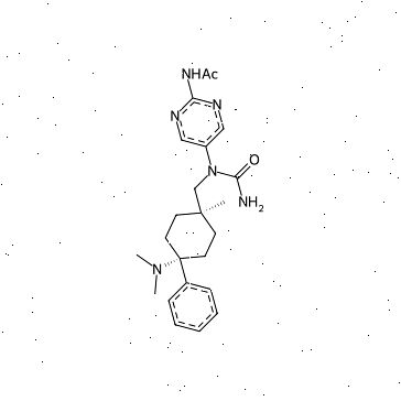 CC(=O)Nc1ncc(N(C[C@]2(C)CC[C@@](c3ccccc3)(N(C)C)CC2)C(N)=O)cn1